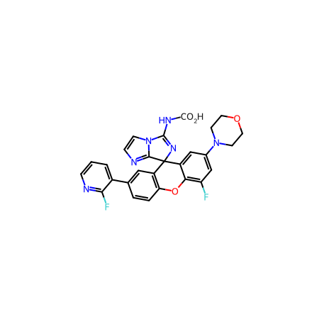 O=C(O)NC1=NC2(c3cc(-c4cccnc4F)ccc3Oc3c(F)cc(N4CCOCC4)cc32)c2nccn21